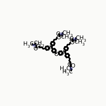 C/C=C(\C)C(=O)OCCCc1ccc(N(c2ccc(CCCOC(=O)/C(C)=C/C)cc2)c2ccc(Oc3ccc(N(c4ccc(CCCOC(=O)/C(C)=C/C)cc4)c4ccc(CCCOC(=O)/C(C)=C/C)cc4)cc3)cc2)cc1